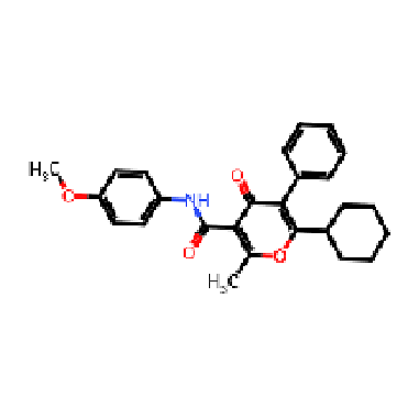 COc1ccc(NC(=O)c2c(C)oc(C3CCCCC3)c(-c3ccccc3)c2=O)cc1